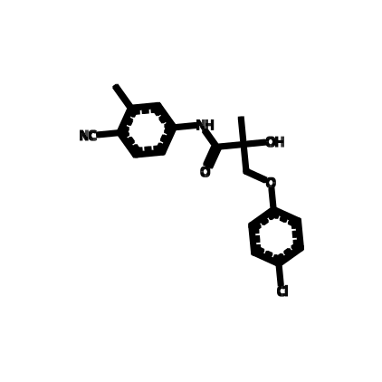 Cc1cc(NC(=O)C(C)(O)COc2ccc(Cl)cc2)ccc1C#N